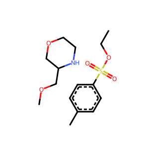 CCOS(=O)(=O)c1ccc(C)cc1.COCC1COCCN1